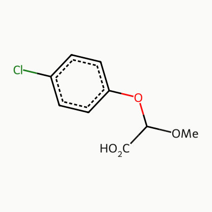 COC(Oc1ccc(Cl)cc1)C(=O)O